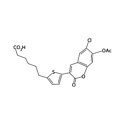 CC(=O)Oc1cc2oc(=O)c(-c3ccc(CCCCCC(=O)O)s3)cc2cc1Cl